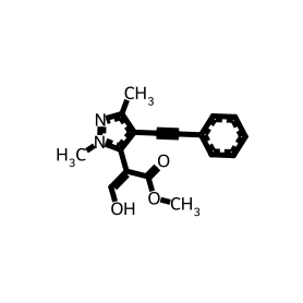 COC(=O)C(=CO)c1c(C#Cc2ccccc2)c(C)nn1C